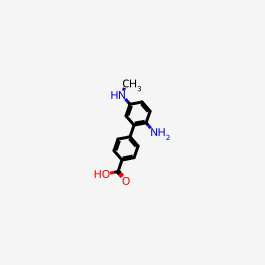 CNc1ccc(N)c(-c2ccc(C(=O)O)cc2)c1